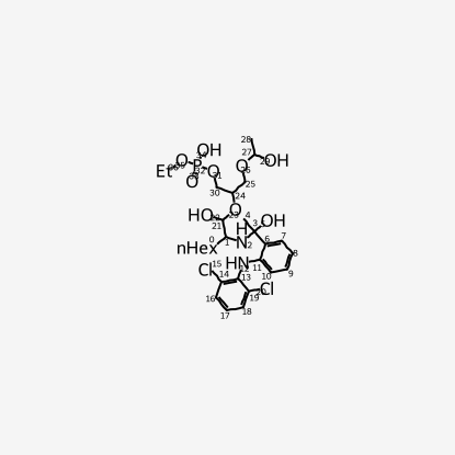 CCCCCCC(NC(C)(O)c1ccccc1Nc1c(Cl)cccc1Cl)C(O)OC(COC(C)O)COP(=O)(O)OCC